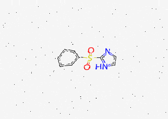 O=S(=O)(c1cc[c]cc1)c1ncc[nH]1